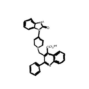 O=C(O)c1c(CN2CCC(n3c(=O)[nH]c4ccccc43)CC2)c(-c2ccccc2)nc2ccccc12